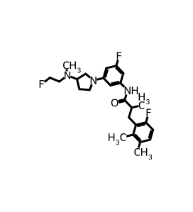 Cc1ccc(F)c(CC(C)C(=O)Nc2cc(F)cc(N3CCC(N(C)CCF)C3)c2)c1C